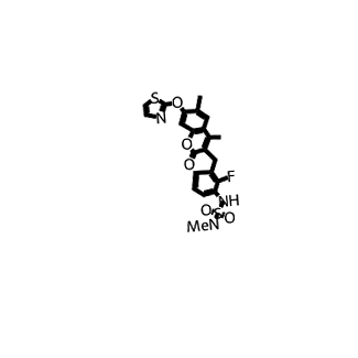 CNS(=O)(=O)Nc1cccc(Cc2c(C)c3cc(C)c(Oc4nccs4)cc3oc2=O)c1F